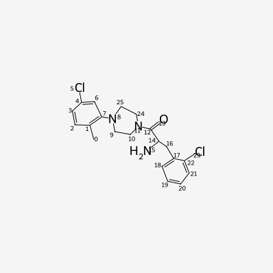 Cc1ccc(Cl)cc1N1CCN(C(=O)C(N)Cc2ccccc2Cl)CC1